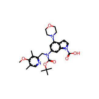 COc1c(C)cnc(CN(C(=O)OC(C)(C)C)c2cc(N3CCOCC3)c3ccn(C(=O)O)c3c2)c1C